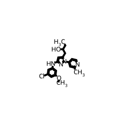 CCC(O)Cc1cc(Nc2cc(Cl)cc(OC)c2)nn1-c1ccnc(C)c1